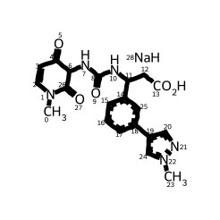 CN1C=CC(=O)C(NC(=O)NC(CC(=O)O)c2cccc(-c3cnn(C)c3)c2)C1=O.[NaH]